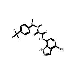 C[C@H](c1ccc(C(F)(F)F)cc1)N(C)C(=O)C(=O)Nc1cnc(N)c2cn[nH]c12